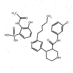 CC(=O)Nc1c(O)cccc1[As](=O)(O)O.CCCCCc1cc(N2CCNCC2C(=O)Nc2cccc(Cl)c2)ccn1